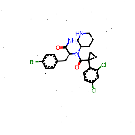 NC(=O)[C@H](Cc1ccc(Br)cc1)N(C(=O)C1(c2ccc(Cl)cc2Cl)CC1)[C@@H]1CCCNC1